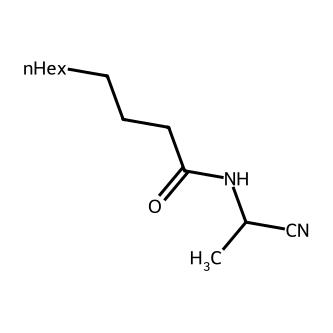 CCCCCCCCCC(=O)NC(C)C#N